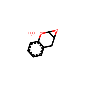 O.c1ccc2c(c1)CC1OC1O2